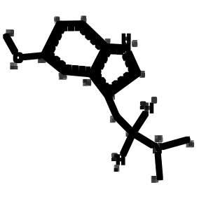 [2H]C([2H])(Cc1c[nH]c2ccc(OC)cc12)N(C)C